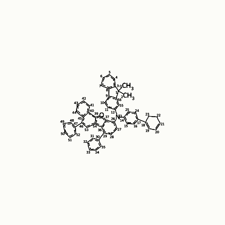 CC1(C)c2ccccc2-c2ccc(N(c3ccc(C4=CC=CCC4)cc3)c3ccc(-c4ccccc4)c4c3oc3c5ccccc5c(-c5ccccc5)cc34)cc21